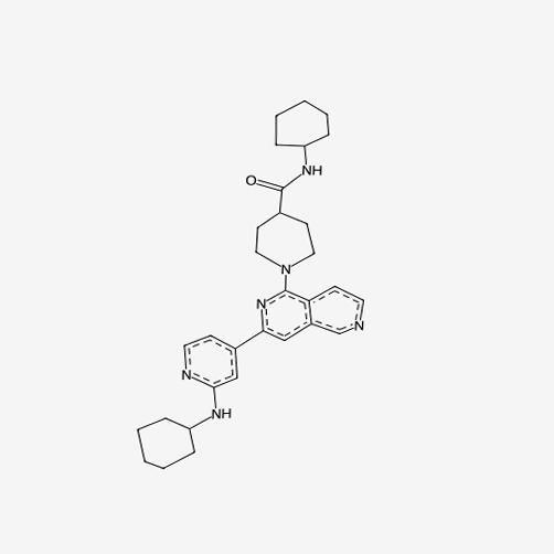 O=C(NC1CCCCC1)C1CCN(c2nc(-c3ccnc(NC4CCCCC4)c3)cc3cnccc23)CC1